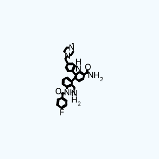 CN1CCN(Cc2ccc3c(c2)[nH]c2c(C(N)=O)ccc(-c4cccc(NC(=O)c5ccc(F)cc5)c4CN)c23)CC1